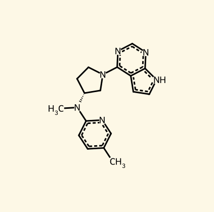 Cc1ccc(N(C)[C@@H]2CCN(c3ncnc4[nH]ccc34)C2)nc1